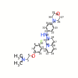 CN(C)CCOc1ccc(F)c(C2=CC=CC3=CCN(Nc4ccc(N5CCOCC5)cc4)CN32)c1